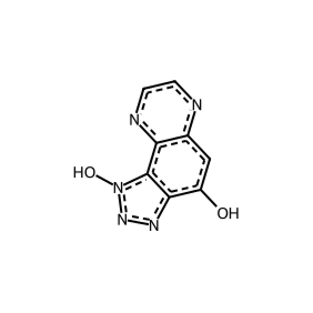 Oc1cc2nccnc2c2c1nnn2O